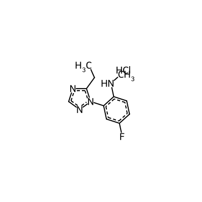 CCc1ncnn1-c1cc(F)ccc1NC.Cl